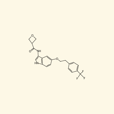 O=C(Nc1c[nH]c2ccc(OCCc3ccc(C(F)(F)F)cc3)cc12)C1COC1